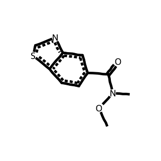 CON(C)C(=O)c1ccc2scnc2c1